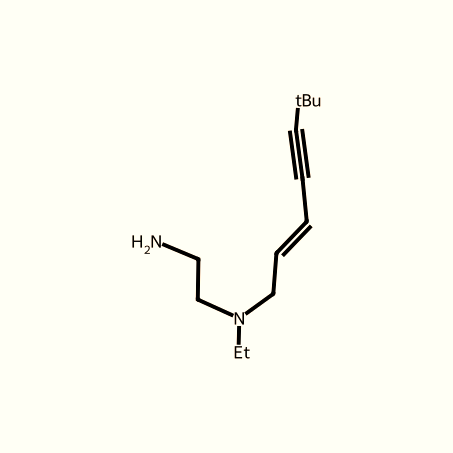 CCN(CC=CC#CC(C)(C)C)CCN